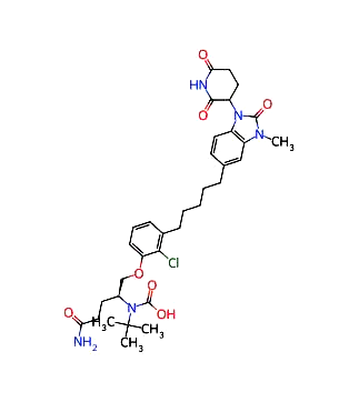 Cn1c(=O)n(C2CCC(=O)NC2=O)c2ccc(CCCCCc3cccc(OC[C@H](CCC(N)=O)N(C(=O)O)C(C)(C)C)c3Cl)cc21